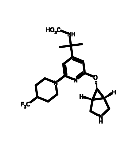 CC(C)(NC(=O)O)c1cc(O[C@@H]2[C@@H]3CNC[C@@H]32)nc(N2CCC(C(F)(F)F)CC2)c1